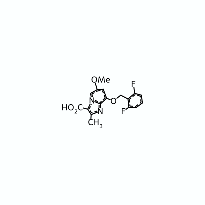 COc1cc(OCc2c(F)cccc2F)c2nc(C)c(C(=O)O)n2c1